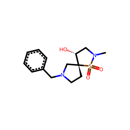 CN1C[C@@H](O)[C@]2(CCN(Cc3ccccc3)C2)S1(=O)=O